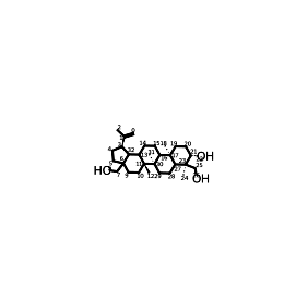 C=C(C)[C@@H]1CCC2(CO)CC[C@]3(C)C(CCC4[C@@]5(C)CC[C@H](O)[C@@](C)(CO)C5CC[C@]43C)C12